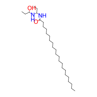 CCCCCCCCCCCCCCCCCCCCCC(=O)NC(CC)NC(O)CC